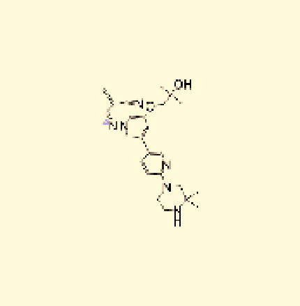 C=C(C#N)/C=N\N1C=C(OCC(C)(C)O)C=C(c2ccc(N3CCNC4(CC4)C3)nc2)C1